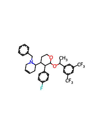 CC(OC1OCCC(C2CC=CCN2Cc2ccccc2)C1c1ccc(F)cc1)c1cc(C(F)(F)F)cc(C(F)(F)F)c1